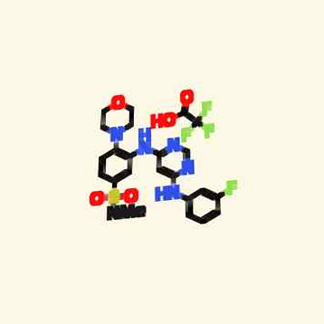 CNS(=O)(=O)c1ccc(N2CCOCC2)c(Nc2cc(Nc3cccc(F)c3)ncn2)c1.O=C(O)C(F)(F)F